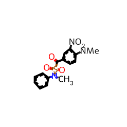 CNc1ccc(C(=O)S(=O)(=O)N(C)c2ccccc2)cc1[N+](=O)[O-]